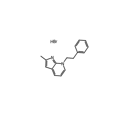 Br.Cc1cc2cccn(CCc3ccccc3)c-2n1